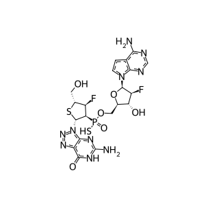 Nc1nc2c(nnn2[C@@H]2S[C@H](CO)[C@@H](F)[C@H]2P(=O)(S)OC[C@H]2O[C@@H](n3ccc4c(N)ncnc43)[C@@H](F)[C@@H]2O)c(=O)[nH]1